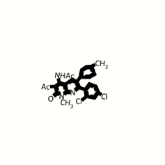 CC(=O)Nc1c(C(C)=O)c(=O)n(C)c2nc(-c3ccc(Cl)cc3Cl)c(-c3ccc(C)cc3)cc12